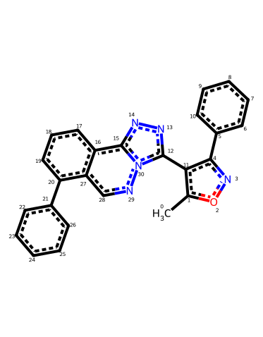 Cc1onc(-c2ccccc2)c1-c1nnc2c3cccc(-c4ccccc4)c3cnn12